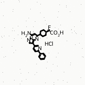 Cl.Nc1cc(C2CCC([C@H](F)C(=O)O)CC2)nc2c(-c3ccc(-c4ccccc4)nc3)cnn12